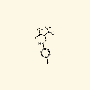 O=C(O)C(CNc1ccc(F)cc1)C(=O)O